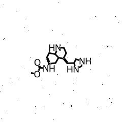 COC(=O)NC1=CCC2NCC/C(=C\C3CNCN3)C2C1